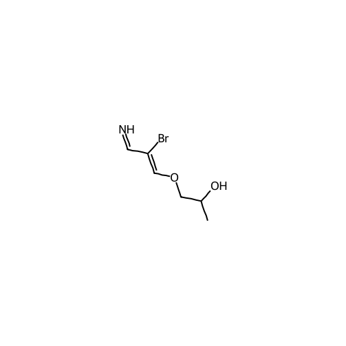 CC(O)CO/C=C(\Br)C=N